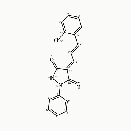 O=C1NN(c2ccccc2)C(=O)/C1=C/C=C/c1ccccc1Cl